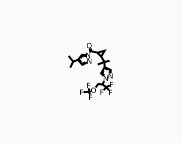 CC(C)c1cnn(C(=O)C2CC2C(C)(C)c2cnn(C(COC(F)(F)F)C(F)(F)F)c2)c1